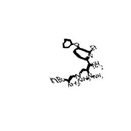 CCCC/C(N)=C/N(N)C/C(=C(/N)c1ccc(OC2CCCCC2)c(CC)n1)N(C)N